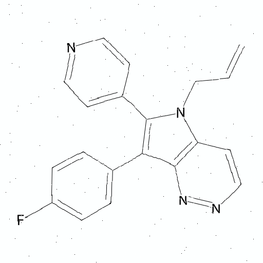 C=CCn1c(-c2ccncc2)c(-c2ccc(F)cc2)c2nnccc21